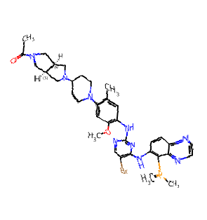 COc1cc(N2CCC(N3C[C@H]4CN(C(C)=O)C[C@H]4C3)CC2)c(C)cc1Nc1ncc(Br)c(Nc2ccc3nccnc3c2P(C)C)n1